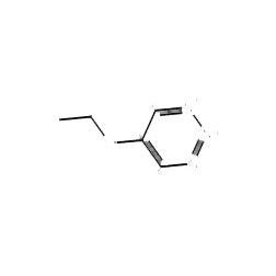 CCOc1[c]nnnc1